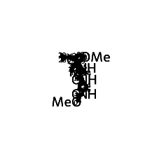 COCC(=O)N[C@H]1CC[C@H](NC(=O)c2c(C)[nH]c3c(-c4cc(OC)ccc4OCC4CC4)ccnc23)CC1